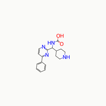 O=C(O)NC(c1nccc(-c2ccccc2)n1)C1CCNCC1